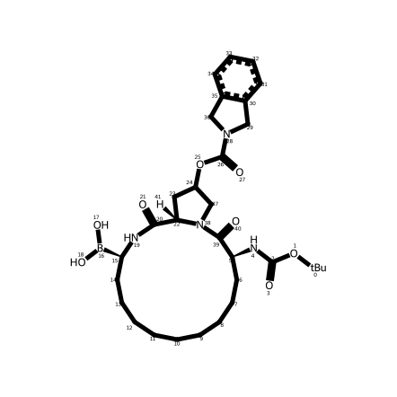 CC(C)(C)OC(=O)N[C@H]1CCCCCCCCC[C@@H](B(O)O)NC(=O)[C@@H]2CC(OC(=O)N3Cc4ccccc4C3)CN2C1=O